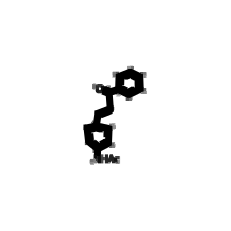 CC(=O)Nc1ccc(C=CC(=O)c2ccccc2)cc1